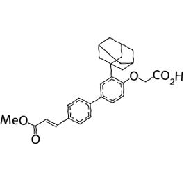 COC(=O)C=Cc1ccc(-c2ccc(OCC(=O)O)c(C34CC5CC(CC(C5)C3)C4)c2)cc1